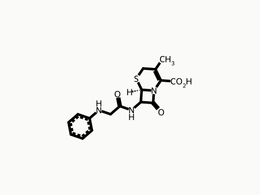 CC1=C(C(=O)O)N2C(=O)C(NC(=O)CNc3ccccc3)[C@H]2SC1